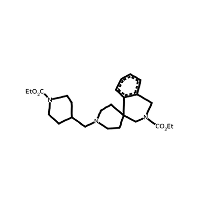 CCOC(=O)N1CCC(CN2CCC3(CC2)CN(C(=O)OCC)Cc2ccccc23)CC1